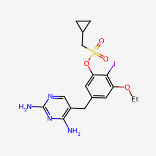 CCOc1cc(Cc2cnc(N)nc2N)cc(OS(=O)(=O)CC2CC2)c1I